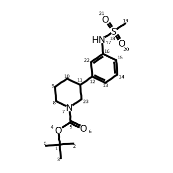 CC(C)(C)OC(=O)N1CCCC(c2cccc(NS(C)(=O)=O)c2)C1